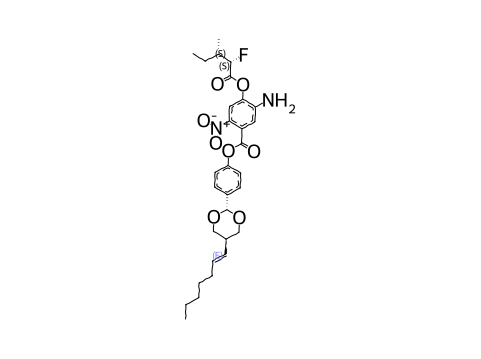 CCCCC/C=C/[C@H]1CO[C@H](c2ccc(OC(=O)c3cc(N)c(OC(=O)[C@@H](F)[C@@H](C)CC)cc3[N+](=O)[O-])cc2)OC1